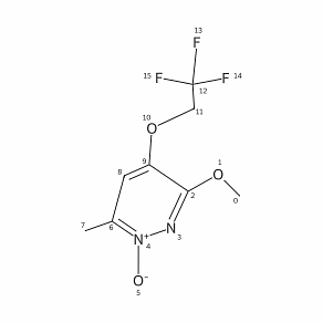 COc1n[n+]([O-])c(C)cc1OCC(F)(F)F